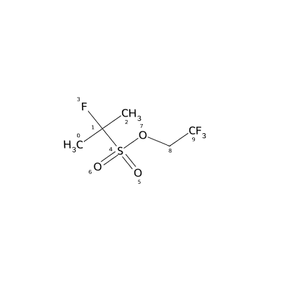 CC(C)(F)S(=O)(=O)OCC(F)(F)F